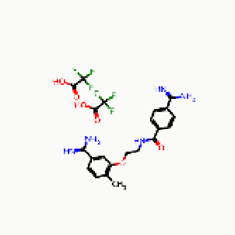 Cc1ccc(C(=N)N)cc1OCCNC(=O)c1ccc(C(=N)N)cc1.O=C(O)C(F)(F)F.O=C(O)C(F)(F)F